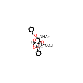 CC(=O)N[C@@H]1[C@@H](OCc2ccccc2)O[C@@H]2COC(c3ccccc3)O[C@H]2[C@@H]1OC(C)C(=O)O